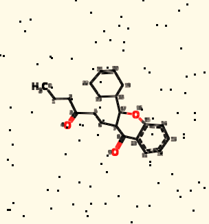 CCCC(=O)CCC1C(=O)c2ccccc2OC1C1CC=CCC1